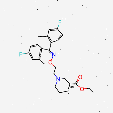 CCOC(=O)[C@@H]1CCCN(CCON=C(c2ccc(F)cc2C)c2ccc(F)cc2C)C1